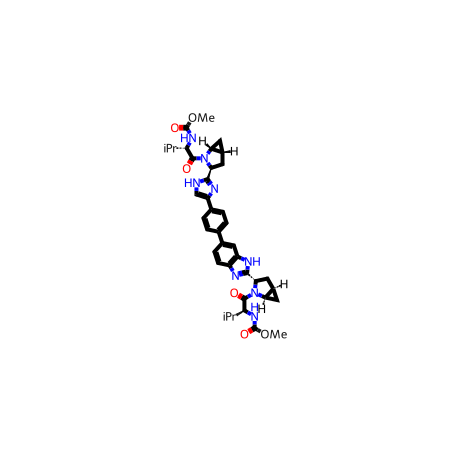 COC(=O)N[C@H](C(=O)N1[C@@H]2C[C@@H]2C[C@H]1c1nc(-c2ccc(-c3ccc4nc([C@@H]5C[C@H]6C[C@H]6N5C(=O)[C@@H](NC(=O)OC)C(C)C)[nH]c4c3)cc2)c[nH]1)C(C)C